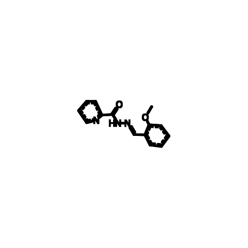 COc1ccccc1C=NNC(=O)c1ccccn1